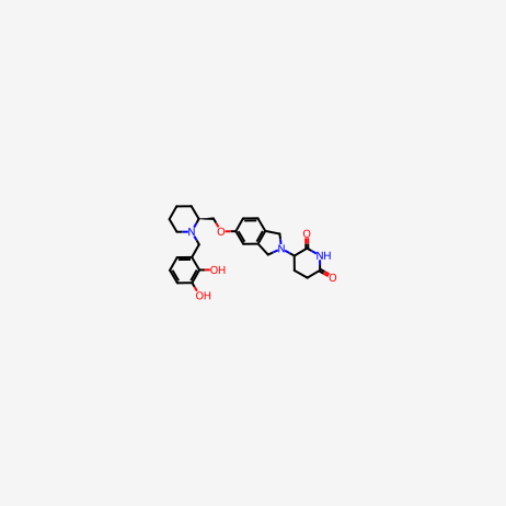 O=C1CCC(N2Cc3ccc(OC[C@@H]4CCCCN4Cc4cccc(O)c4O)cc3C2)C(=O)N1